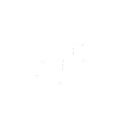 CO[Si](OC)(OC)C(C)C=C(C)C(=O)O